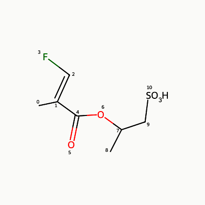 CC(=CF)C(=O)OC(C)CS(=O)(=O)O